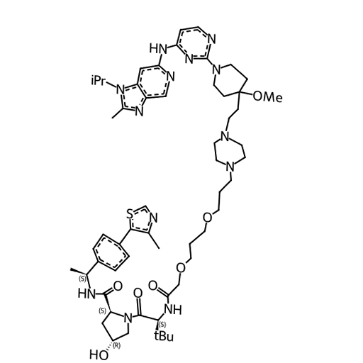 COC1(CCN2CCN(CCCOCCCOCC(=O)N[C@H](C(=O)N3C[C@H](O)C[C@H]3C(=O)N[C@@H](C)c3ccc(-c4scnc4C)cc3)C(C)(C)C)CC2)CCN(c2nccc(Nc3cc4c(cn3)nc(C)n4C(C)C)n2)CC1